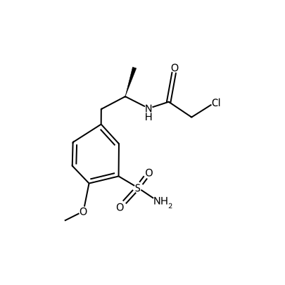 COc1ccc(C[C@@H](C)NC(=O)CCl)cc1S(N)(=O)=O